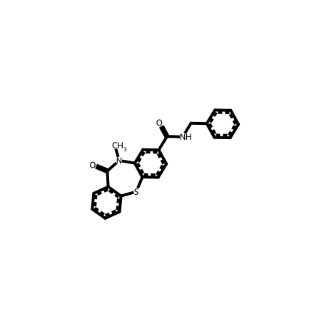 CN1C(=O)c2ccccc2Sc2ccc(C(=O)NCc3ccccc3)cc21